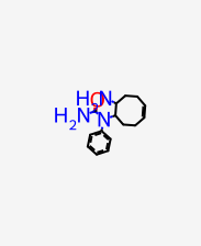 NC(=O)N(c1ccccc1)C1CCC=CCCC1N